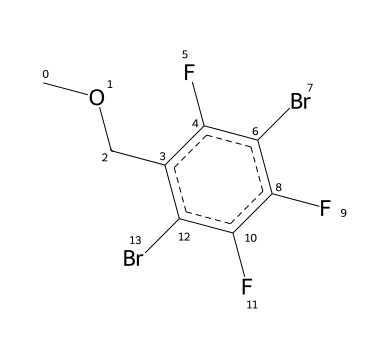 COCc1c(F)c(Br)c(F)c(F)c1Br